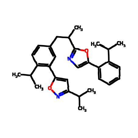 CC(C)c1cc(-c2cc(CC(C)c3ncc(-c4ccccc4C(C)C)o3)ccc2C(C)C)on1